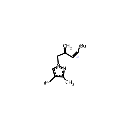 C=C(/C=C\C(C)CC)Cn1cc(C(C)C)c(C)n1